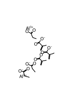 C=C(C)C(=O)[O-].C=C(C)C(=O)[O-].C=C(C)C(=O)[O-].CCC(=O)[O-].CCC(=O)[O-].CCC(=O)[O-].[Al+3].[Al+3]